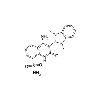 CN1c2ccccc2N(C)C1c1c(N)c2cccc(S(N)(=O)=O)c2[nH]c1=O